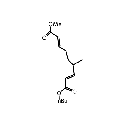 CCCCOC(=O)/C=C/C(C)CC/C=C/C(=O)OC